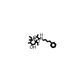 CCC1(C)CC(O)C(C)C(C)(CC)N1OC(C)C(=O)NCCCCc1ccccc1